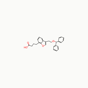 O=C(O)CCCc1cccc2c(CCOC(c3ccccc3)c3ccccc3)coc12